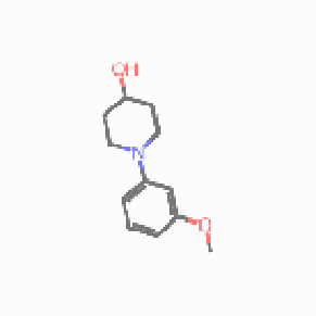 COc1cccc(N2CCC(O)CC2)c1